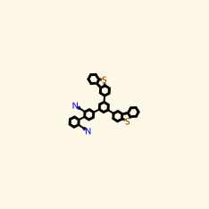 N#Cc1ccccc1-c1ccc(-c2cc(-c3ccc4sc5ccccc5c4c3)cc(-c3ccc4sc5ccccc5c4c3)c2)cc1C#N